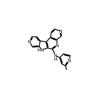 Cc1cc(Nc2nc3cnccc3c3c2[nH]c2cnccc23)ccn1